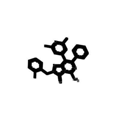 Cc1cc(-c2c(-c3ccccc3)nc(N)n3c(=O)n(Cc4ccccc4C)nc23)cc(C)n1